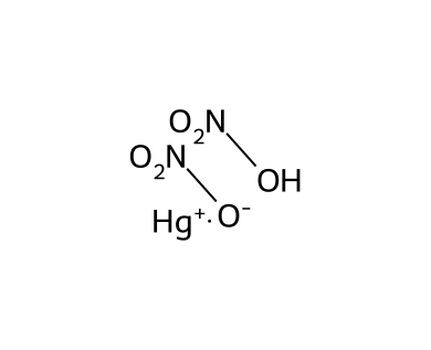 O=[N+]([O-])O.O=[N+]([O-])[O-].[Hg+]